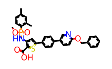 COP(=O)(Nc1cc(-c2ccc(-c3ccc(OCc4ccccc4)nc3)cc2)sc1C(=O)O)c1ccc(C)cc1C